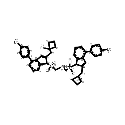 CCc1ccc(-c2cccc3c2C=C(CC2(CC)CCC2)[CH]3[Zr]([Cl])([Cl])[CH2][SiH2][CH2][Zr]([Cl])([Cl])[CH]2C(CC3(CC)CCC3)=Cc3c(-c4ccc(CC)cc4)cccc32)cc1